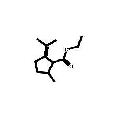 CCOC(=O)C1C(=C(C)C)CCC1C